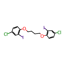 Clc1ccc(OCCCCOc2ccc(Cl)cc2I)c(I)c1